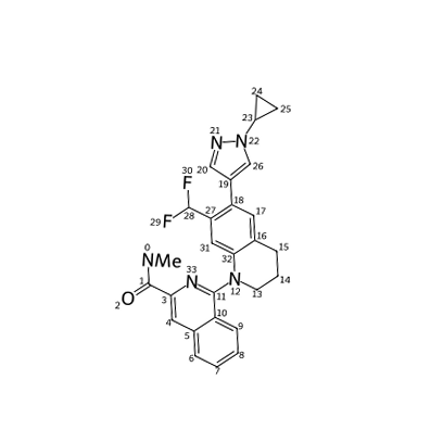 CNC(=O)c1cc2ccccc2c(N2CCCc3cc(-c4cnn(C5CC5)c4)c(C(F)F)cc32)n1